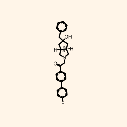 O=C(CN1C[C@@H]2CC(O)(Cc3ccccc3)C[C@@H]2C1)c1ccc(-c2ccc(F)cc2)cc1